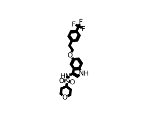 O=S(=O)(Nc1c[nH]c2ccc(OCCc3ccc(C(F)(F)F)cc3)cc12)C1CCOCC1